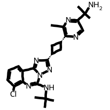 Cc1nc(C(C)(C)N)cnc1[C@H]1C[C@@H](c2nc3c4cccc(Cl)c4nc(NC(C)(C)C)n3n2)C1